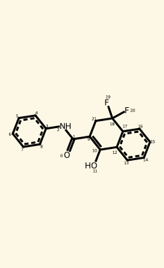 O=C(Nc1ccccc1)C1=C(O)c2ccccc2C(F)(F)C1